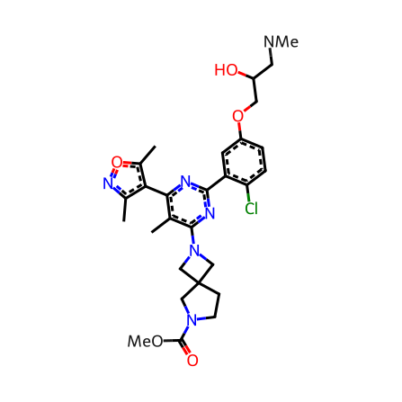 CNCC(O)COc1ccc(Cl)c(-c2nc(-c3c(C)noc3C)c(C)c(N3CC4(CCN(C(=O)OC)C4)C3)n2)c1